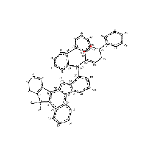 CC1(C)C2=C(C=CCC2)c2c1c1ccccc1c1c2oc2c(N(C3=CCC(c4ccccc4)C=C3)c3ccccc3-c3ccccc3)cccc21